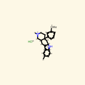 COc1cccc(C23CCN(C)CC2Cc2c([nH]c4ccc(C)cc24)C3)c1.Cl